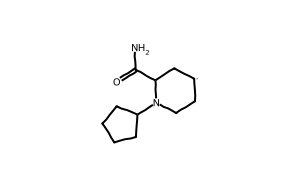 NC(=O)C1C[CH]CCN1C1CCCC1